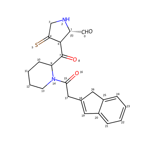 O=C[C@H]1NCC(=S)C1C(=O)C1CCCCN1C(=O)CC1=Cc2ccccc2C1